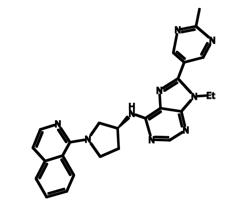 CCn1c(-c2cnc(C)nc2)nc2c(N[C@H]3CCN(c4nccc5ccccc45)C3)ncnc21